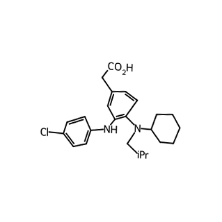 CC(C)CN(c1ccc(CC(=O)O)cc1Nc1ccc(Cl)cc1)C1CCCCC1